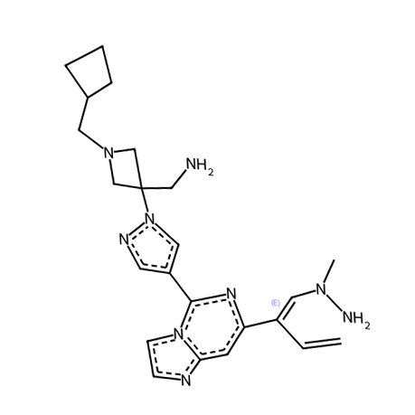 C=C/C(=C\N(C)N)c1cc2nccn2c(-c2cnn(C3(CN)CN(CC4CCC4)C3)c2)n1